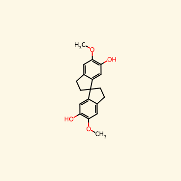 COc1cc2c(cc1O)C1(CC2)CCc2cc(OC)c(O)cc21